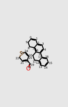 C1=Cc2ccc3c(c2CC1)CCc1ccccc1-3.O=CC1=CCSC=C1